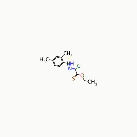 CCOC(=S)/C(Cl)=N/Nc1ccc(C)cc1C